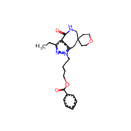 CCc1nn(CCCCOC(=O)c2ccccc2)c2c1C(=O)NCC1(CCOCC1)C2